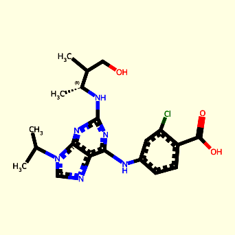 CC(CO)[C@@H](C)Nc1nc(Nc2ccc(C(=O)O)c(Cl)c2)c2ncn(C(C)C)c2n1